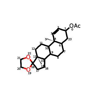 CC(=O)OC1C=C[C@@]2(C)C(CCC3C2CC[C@@]2(C)C3CCC23OCCO3)C1